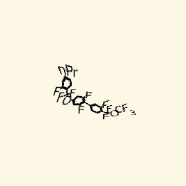 CCCc1ccc(C(F)(F)Oc2cc(F)c(-c3ccc(C(F)(F)OC(F)(F)F)c(F)c3)c(F)c2)c(F)c1